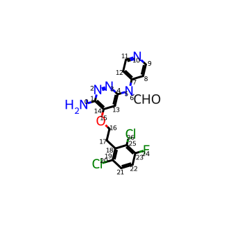 Nc1nnc(N(C=O)c2ccncc2)cc1OCCc1c(Cl)ccc(F)c1Cl